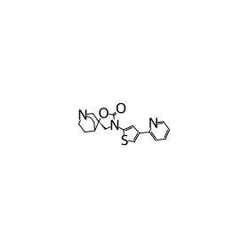 O=C1O[C@]2(CN3CCC2CC3)CN1c1cc(-c2ccccn2)cs1